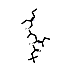 CC/C=C(\CC)CNC(C)C/C(NC(=O)CC(C)(C)C)=C(/C)CC